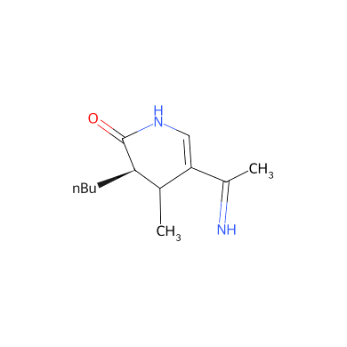 CCCC[C@H]1C(=O)NC=C(C(C)=N)C1C